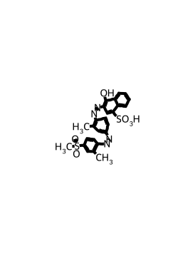 Cc1cc(S(C)(=O)=O)ccc1/N=N\c1ccc(/N=N\c2cc(S(=O)(=O)O)c3ccccc3c2O)c(C)c1